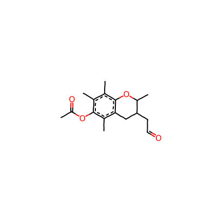 CC(=O)Oc1c(C)c(C)c2c(c1C)CC(CC=O)C(C)O2